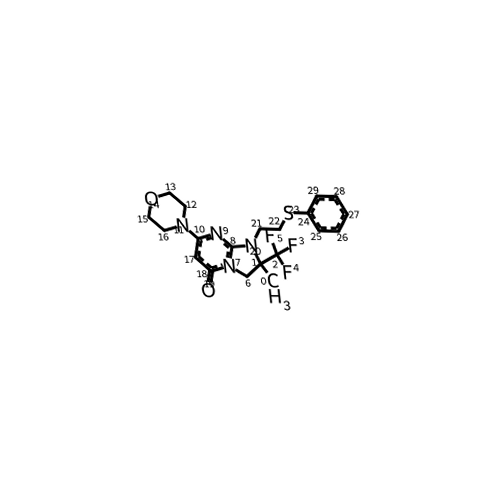 CC1(C(F)(F)F)Cn2c(nc(N3CCOCC3)cc2=O)N1CCSc1ccccc1